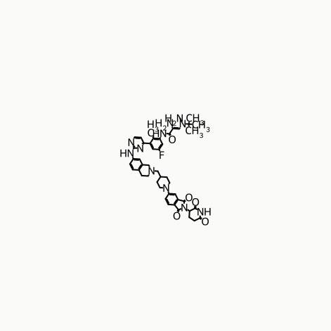 Cc1c(NC(=O)/C(N)=C/N(N)C(C)(C)C)cc(F)cc1-c1ccnc(Nc2ccc3c(c2)CN(CC2CCN(c4ccc5c(c4)C(=O)N(C4CCC(=O)NC4=O)C5=O)CC2)CC3)n1